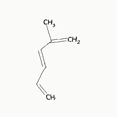 [CH]=CC=CC(=C)C